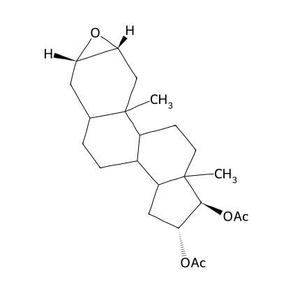 CC(=O)O[C@@H]1CC2C3CCC4C[C@@H]5O[C@@H]5CC4(C)C3CCC2(C)[C@H]1OC(C)=O